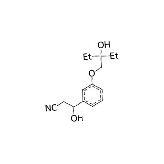 CCC(O)(CC)COc1cccc(C(O)CC#N)c1